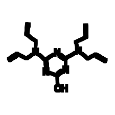 C=CCN(CC=C)c1nc(O)nc(N(CC=C)CC=C)n1